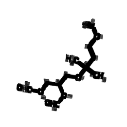 CC(C)(C)OCCC(C)(C)OCC(COC=O)OC=O